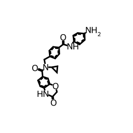 Nc1ccc(NC(=O)c2ccc(CN(C(=O)c3ccc4c(c3)OCC(=O)N4)C3CC3)cc2)cc1